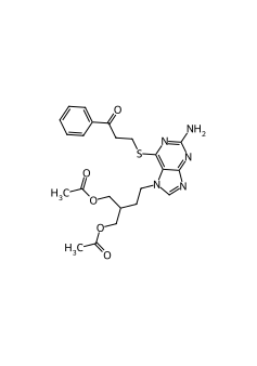 CC(=O)OCC(CCn1cnc2nc(N)nc(SCCC(=O)c3ccccc3)c21)COC(C)=O